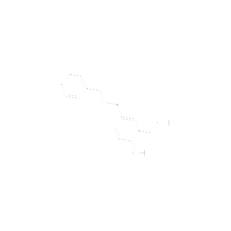 O=C(OCc1ccccc1)c1ccc(O)c(CO)c1